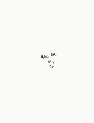 [AlH3].[Cu].[MgH2].[SiH4]